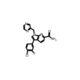 NC(=O)c1ccc2c(-c3ccc(Cl)c(F)c3)cn(Cc3cnccn3)c2n1